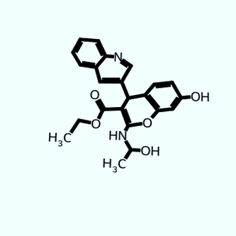 CCOC(=O)C1=C(NC(C)O)Oc2cc(O)ccc2C1c1cnc2ccccc2c1